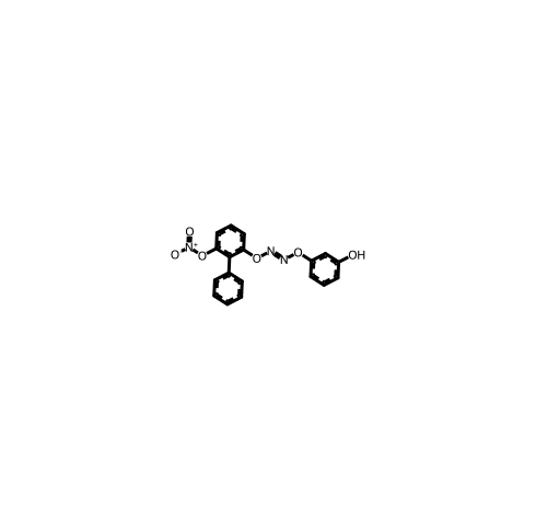 O=[N+]([O-])Oc1cccc(ON=NOc2cccc(O)c2)c1-c1ccccc1